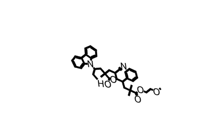 CCC(CC(C)(CC(C#N)CC(CC(C)(C)C(=O)OCCOC)c1ccccc1)C(=O)O)n1c2ccccc2c2ccccc21